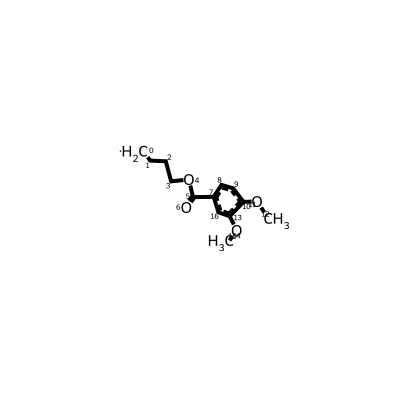 [CH2]CCCOC(=O)c1ccc(OC)c(OC)c1